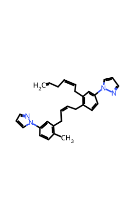 C=CC/C=C\Cc1cc(-n2cccn2)ccc1C/C=C\Cc1cc(-n2cccn2)ccc1C